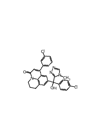 Cn1cnnc1C(O)(c1ccc(Cl)cc1)c1cc2c3c(c1)c(-c1cccc(Cl)c1)cc(=O)n3CCC2